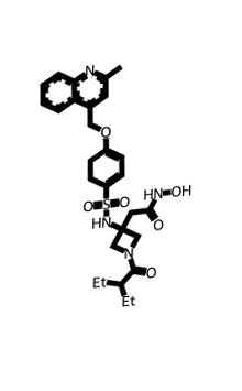 CCC(CC)C(=O)N1CC(CC(=O)NO)(NS(=O)(=O)C2=CC=C(OCc3cc(C)nc4ccccc34)CC2)C1